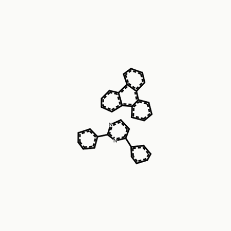 c1ccc(-c2ccnc(-c3ccccc3)n2)cc1.c1ccc2c(c1)c1ccccc1c1ccccc21